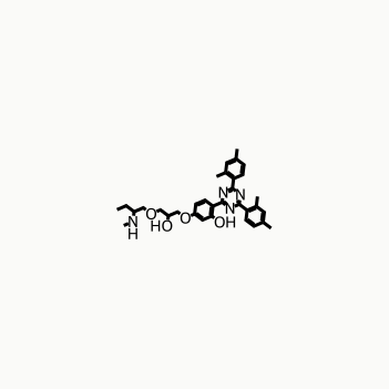 CCC(COCC(O)COc1ccc(-c2nc(-c3ccc(C)cc3C)nc(-c3ccc(C)cc3C)n2)c(O)c1)NC